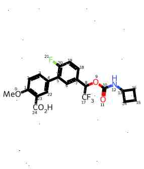 COc1ccc(-c2cc(C(OC(=O)NC3CCC3)C(F)(F)F)ccc2F)cc1C(=O)O